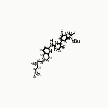 Cc1nc2c(F)cc(-c3nc(Nc4ccc5c(n4)CCN(CCN(C)CCN(C)C)C5)ncc3F)cc2n1C(C)(C)C